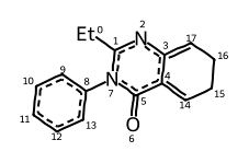 CCc1nc2c(c(=O)n1-c1ccccc1)=CCCC=2